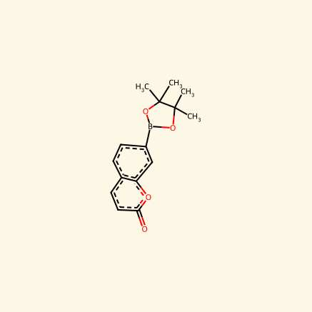 CC1(C)OB(c2ccc3ccc(=O)oc3c2)OC1(C)C